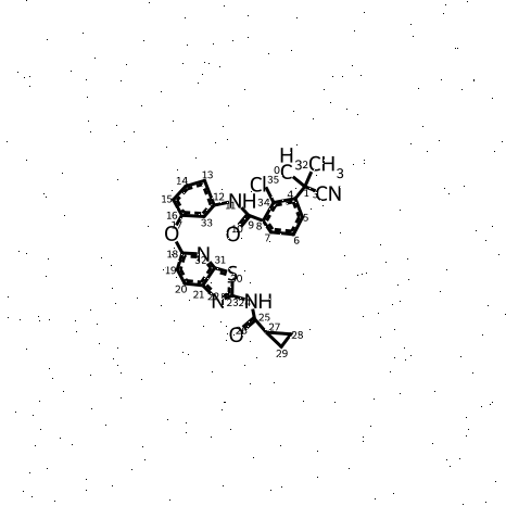 CC(C)(C#N)c1cccc(C(=O)Nc2cccc(Oc3ccc4nc(NC(=O)C5CC5)sc4n3)c2)c1Cl